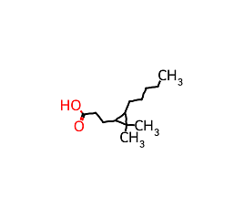 CCCCCC1C(CCC(=O)O)C1(C)C